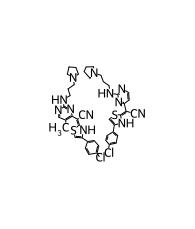 Cc1cnc(NCCCN2CCCC2)nc1C(C#N)=C1NC(c2ccc(Cl)cc2)=CS1.N#CC(=C1NC(c2ccc(Cl)cc2)=CS1)c1ccnc(NCCCN2CCCC2)n1